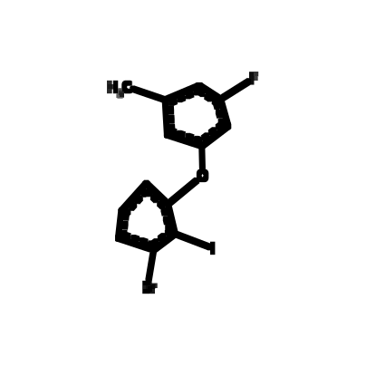 Cc1cc(F)cc(Oc2cccc(Br)c2I)c1